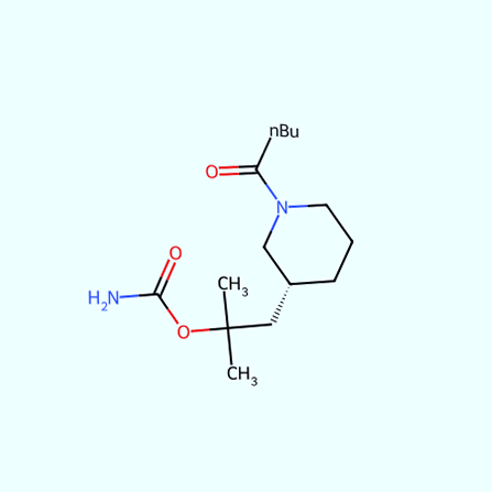 CCCCC(=O)N1CCC[C@H](CC(C)(C)OC(N)=O)C1